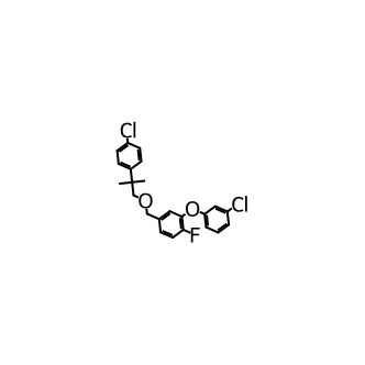 CC(C)(COCc1ccc(F)c(Oc2cccc(Cl)c2)c1)c1ccc(Cl)cc1